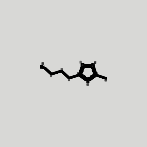 Cc1noc(CCCBr)n1